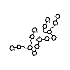 c1ccc(-c2ccc(CCc3cc(CCc4ccc(-c5ccccn5)cc4)cc(-c4ccccc4-c4ccc(-c5cc(-c6ccc(-c7ccccc7-c7cc(CCc8ccc(-c9ccccn9)cc8)cc(CCc8ccc(-c9ccccn9)cc8)c7)cc6)ncn5)cc4)c3)cc2)nc1